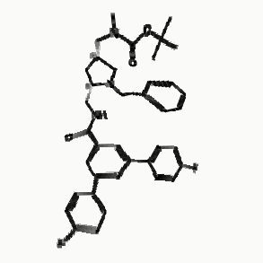 CN(C[C@H]1C[C@@H](CNC(=O)c2cc(-c3ccc(F)cc3)cc(-c3ccc(F)cc3)c2)N(Cc2ccccc2)C1)C(=O)OC(C)(C)C